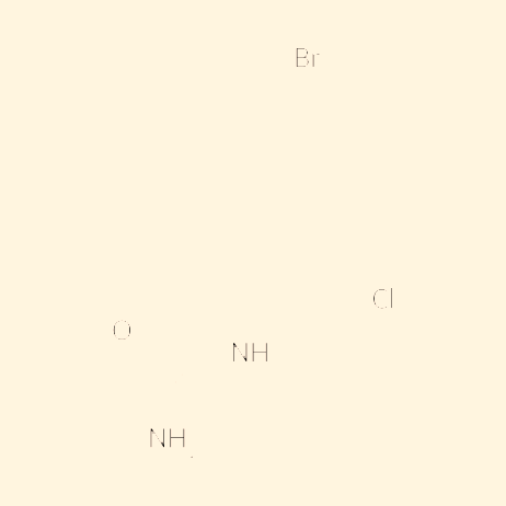 NC(=O)Nc1ccc(Br)cc1Cl